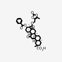 Cc1oc(=O)oc1COC(=O)[C@]1(C)[C@@H](OC(=O)c2ccccc2)CC[C@@]2(C)[C@H]1CC[C@]1(C)[C@@H]2C(=O)C=C2[C@@H]3C[C@@](C)(C(=O)O)CC[C@]3(C)CC[C@]21C